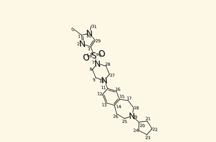 Cc1nc(S(=O)(=O)N2CCN(c3ccc4c(c3)CCN(C3CCCC3)CC4)CC2)cn1C